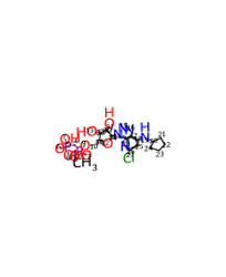 COP(=O)(CP(=O)(O)O)OC[C@H]1O[C@@H](n2nnc3c(NC4CCCC4)cc(Cl)nc32)[C@H](O)[C@@H]1O